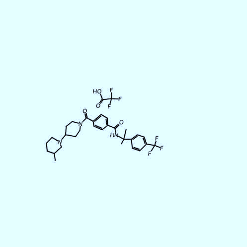 CC1CCCN(C2CCN(C(=O)c3ccc(C(=O)NC(C)(C)c4ccc(C(F)(F)F)cc4)cc3)CC2)C1.O=C(O)C(F)(F)F